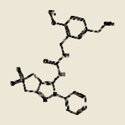 COCc1ccc(OC(F)(F)F)c(CNC(=O)Nc2c3c(nn2-c2ccccc2)CS(=O)(=O)C3)c1